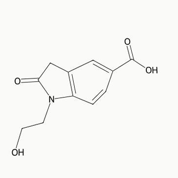 O=C(O)c1ccc2c(c1)CC(=O)N2CCO